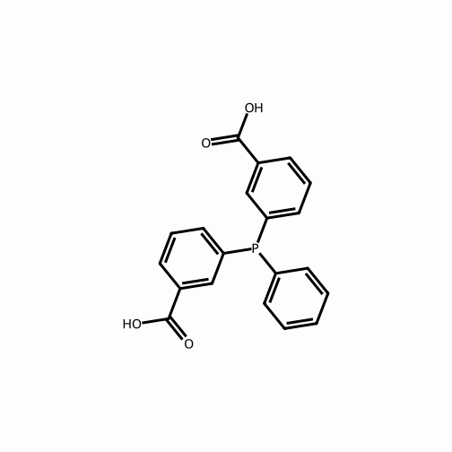 O=C(O)c1cccc(P(c2ccccc2)c2cccc(C(=O)O)c2)c1